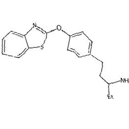 CCC(N)CCc1ccc(Oc2nc3ccccc3s2)cc1